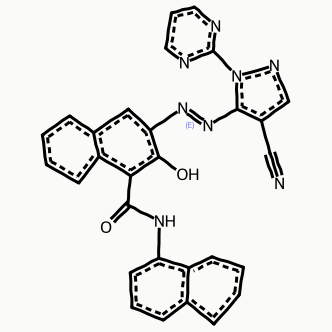 N#Cc1cnn(-c2ncccn2)c1/N=N/c1cc2ccccc2c(C(=O)Nc2cccc3ccccc23)c1O